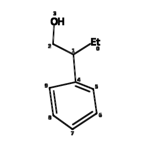 CCC(CO)c1ccccc1